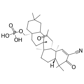 CC(=O)C[C@@H]1[C@@]2(C)C=C(C#N)C(=O)C(C)(C)[C@@H]2CC[C@@]1(C)[C@]1(C)CC[C@@]2(COP(=O)(O)O)CCC(C)(C)CC2C1